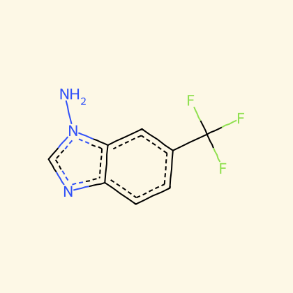 Nn1cnc2ccc(C(F)(F)F)cc21